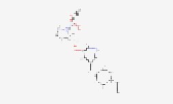 C=C[C@H]1CC[C@H](Cc2cncc(OC[C@@H]3CCCN3C(=O)OC(C)(C)C)c2)CC1